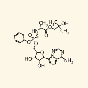 C[C@H](NSP(=O)(OC[C@H]1O[C@@H](c2ccc3c(N)ncnn23)[C@H](O)[C@@H]1O)Oc1ccccc1)C(=O)OCC(C)(C)O